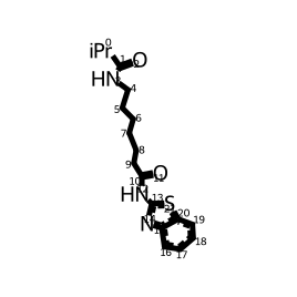 CC(C)C(=O)NCCCCCCC(=O)Nc1nc2ccccc2s1